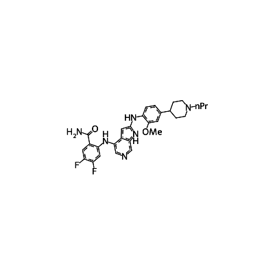 CCCN1CCC(c2ccc(Nc3cc4c(Nc5cc(F)c(F)cc5C(N)=O)cncc4[nH]3)c(OC)c2)CC1